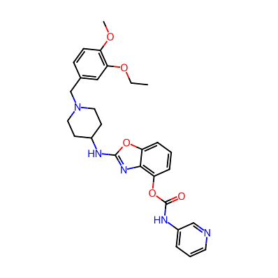 CCOc1cc(CN2CCC(Nc3nc4c(OC(=O)Nc5cccnc5)cccc4o3)CC2)ccc1OC